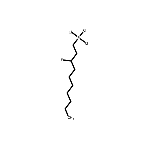 CCCCCCCC(F)CC[Si](Cl)(Cl)Cl